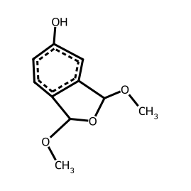 COC1OC(OC)c2cc(O)ccc21